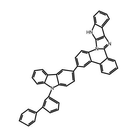 c1ccc(-c2cccc(-n3c4ccccc4c4cc(-c5ccc6c(c5)c5ccccc5c5nc7c8ccccc8[nH]c7n65)ccc43)c2)cc1